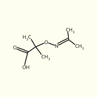 CC(C)=NOC(C)(C)C(=O)O